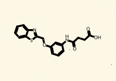 O=C(O)CCC(=O)Nc1cccc(OCc2nc3ccccc3s2)c1